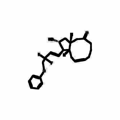 O=C1CCC/C=C\C[C@H]2[C@@H](C1)C[C@@H](O)[C@@H]2/C=C/C(F)(F)COc1ccccc1